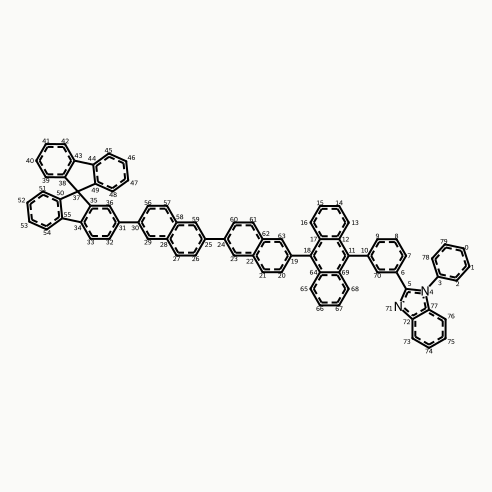 c1ccc(-n2c(-c3cccc(-c4c5ccccc5c(-c5ccc6cc(-c7ccc8cc(-c9ccc%10c(c9)C9(c%11ccccc%11-c%11ccccc%119)c9ccccc9-%10)ccc8c7)ccc6c5)c5ccccc45)c3)nc3ccccc32)cc1